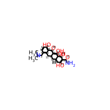 CN(C)Cc1ccc(O)c2c1CC1C[C@H]3CC(O)=C(C(N)=O)C(=O)[C@@]3(O)C(O)=C1C2=O